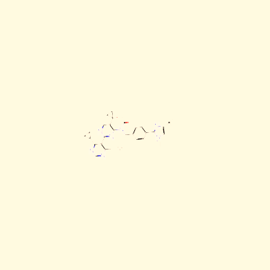 COc1ncnc(C2CC2)c1-c1ncc2c(n1)N(Cc1ccc(-c3nc(C(C)(F)F)cn3C)cc1)C(=O)OC21CC1